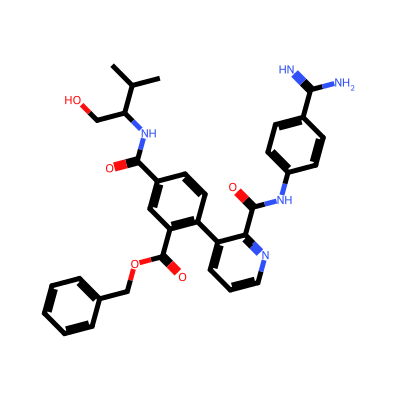 CC(C)C(CO)NC(=O)c1ccc(-c2cccnc2C(=O)Nc2ccc(C(=N)N)cc2)c(C(=O)OCc2ccccc2)c1